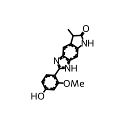 COc1cc(O)ccc1-c1nc2cc3c(cc2[nH]1)NC(=O)C3C